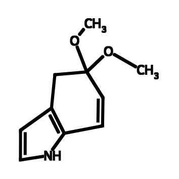 COC1(OC)C=Cc2[nH]ccc2C1